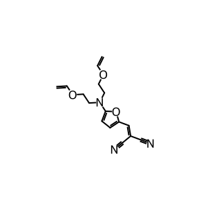 C=COCCN(CCOC=C)c1ccc(C=C(C#N)C#N)o1